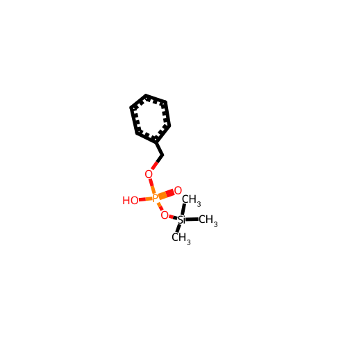 C[Si](C)(C)OP(=O)(O)OCc1ccccc1